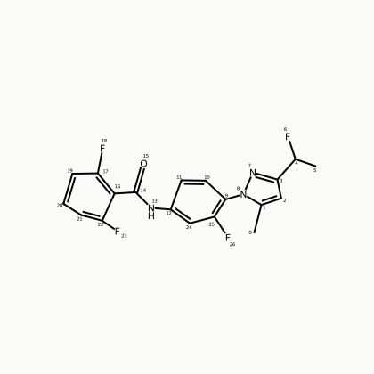 Cc1cc(C(C)F)nn1-c1ccc(NC(=O)c2c(F)cccc2F)cc1F